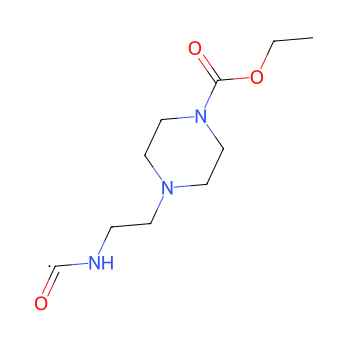 CCOC(=O)N1CCN(CCN[C]=O)CC1